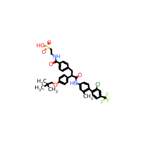 Cc1cc(NC(=O)C(Cc2ccc(C(=O)NCCS(=O)(=O)O)cc2)c2ccc(OCC(C)(C)C)cc2)ccc1-c1ccc(C(F)(F)F)cc1Cl